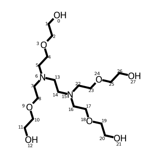 OCCOCCN(CCOCCO)CCN(CCOCCO)CCOCCO